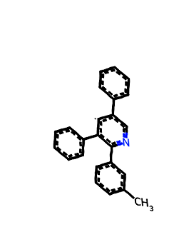 Cc1cccc(-c2ncc(-c3ccccc3)[c]c2-c2ccccc2)c1